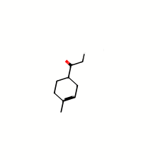 CCOC(=O)CC(=O)C1CC=C(C)CC1